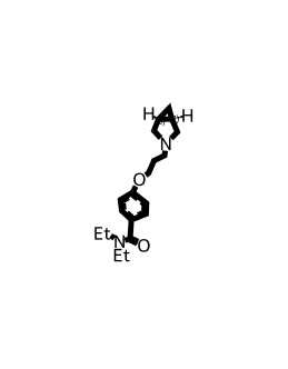 CCN(CC)C(=O)c1ccc(OCCCN2C[C@H]3C[C@H]3C2)cc1